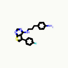 Nc1ccc(CCCNc2ncnc3scc(-c4ccc(F)cc4)c23)cc1